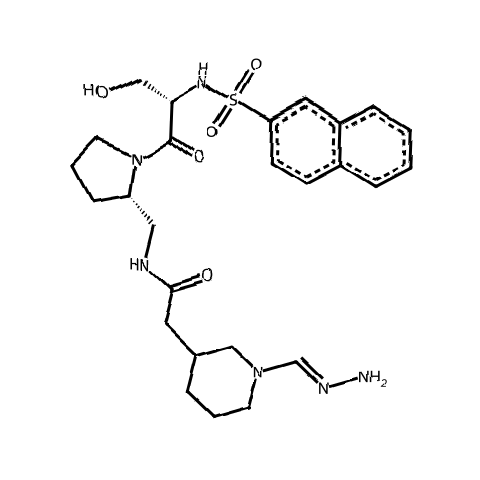 NN=CN1CCCC(CC(=O)NC[C@@H]2CCCN2C(=O)[C@H](CO)NS(=O)(=O)c2ccc3ccccc3c2)C1